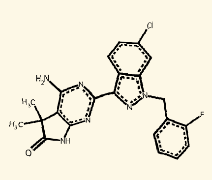 CC1(C)C(=O)Nc2nc(-c3nn(Cc4ccccc4F)c4cc(Cl)ccc34)nc(N)c21